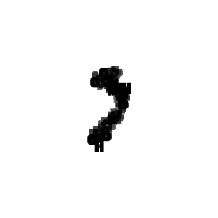 CC(=O)c1c(C)c2cnc(Nc3ccc(OCCC4CCN(c5ccc(C6CCC(=O)NC6=O)cc5)CC4)cn3)nc2n(C2CCCC2)c1=O